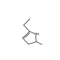 CCC1=CCC(C)N1